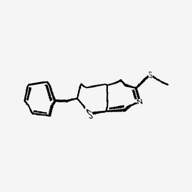 CSC1=NC=C2SC(c3ccccc3)CC2C1